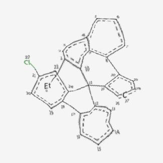 CCc1ccc2cccc3c2c1C1(c2ccccc2-c2ccc(Cl)cc21)c1ccccc1-3